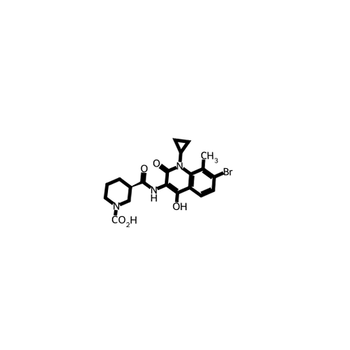 Cc1c(Br)ccc2c(O)c(NC(=O)[C@@H]3CCCN(C(=O)O)C3)c(=O)n(C3CC3)c12